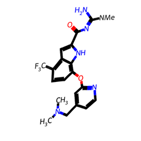 CNC(N)=NC(=O)c1cc2c(C(F)(F)F)ccc(Oc3cc(CN(C)C)ccn3)c2[nH]1